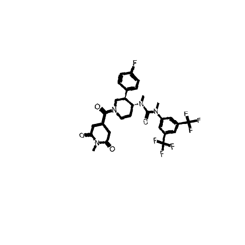 CN1C(=O)CC(C(=O)N2CC[C@@H](N(C)C(=O)N(C)c3cc(C(F)(F)F)cc(C(F)(F)F)c3)[C@H](c3ccc(F)cc3)C2)CC1=O